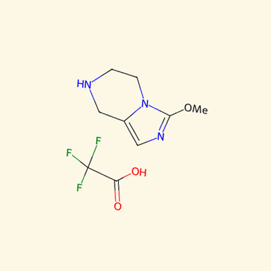 COc1ncc2n1CCNC2.O=C(O)C(F)(F)F